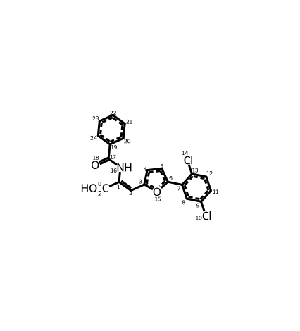 O=C(O)/C(=C/c1ccc(-c2cc(Cl)ccc2Cl)o1)NC(=O)c1ccccc1